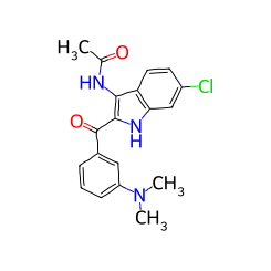 CC(=O)Nc1c(C(=O)c2cccc(N(C)C)c2)[nH]c2cc(Cl)ccc12